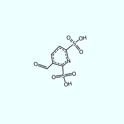 O=Cc1ccc(S(=O)(=O)O)nc1S(=O)(=O)O